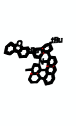 CC1C=C(N(c2cccc(-c3ccc4c(c3)oc3ccccc34)c2)c2ccccc2-c2cc(C(C)(C)C)cc(C(C)(C)C)c2)C(c2cccc3cccc(C4CCCCC4)c23)=CC1